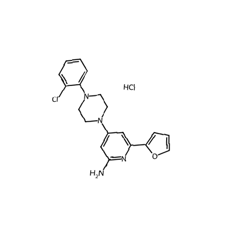 Cl.Nc1cc(N2CCN(c3ccccc3Cl)CC2)cc(-c2ccco2)n1